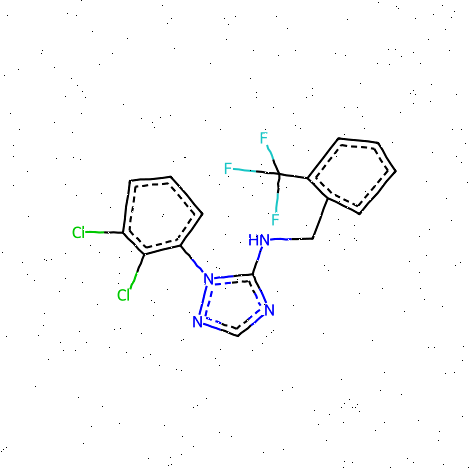 FC(F)(F)c1ccccc1CNc1ncnn1-c1cccc(Cl)c1Cl